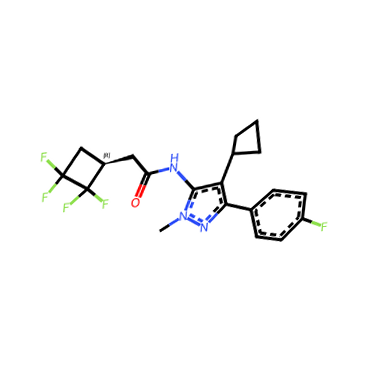 Cn1nc(-c2ccc(F)cc2)c(C2CCC2)c1NC(=O)C[C@@H]1CC(F)(F)C1(F)F